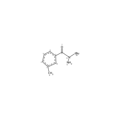 Cc1cccc(C(=O)N(N)C(C)(C)C)c1